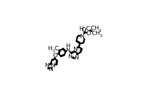 Cc1cc(Nc2ncnc3ccc(C4=CCCN(C(=O)OC(C)(C)C)CC4)nc23)ccc1Oc1ccn2ncnc2c1